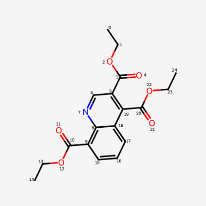 CCOC(=O)c1cnc2c(C(=O)OCC)cccc2c1C(=O)OCC